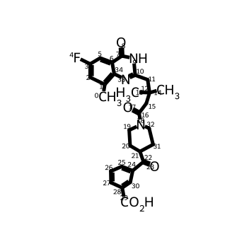 Cc1cc(F)cc2c(=O)[nH]c(CC(C)(C)CC(=O)N3CCC(C(=O)c4cccc(C(=O)O)c4)CC3)nc12